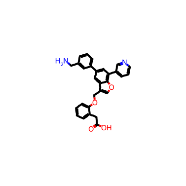 NCc1cccc(-c2cc(-c3cccnc3)c3occ(COc4ccccc4CC(=O)O)c3c2)c1